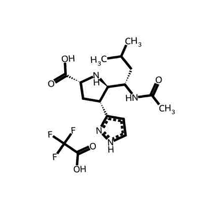 CC(=O)N[C@@H](CC(C)C)[C@@H]1N[C@@H](C(=O)O)C[C@H]1c1cc[nH]n1.O=C(O)C(F)(F)F